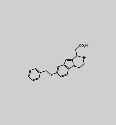 O=C(O)CC1NCCn2c1cc1cc(OCc3ccccc3)ccc12